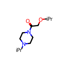 CC(C)OCC(=O)N1CCN(C(C)C)CC1